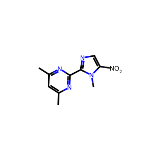 Cc1cc(C)nc(-c2ncc([N+](=O)[O-])n2C)n1